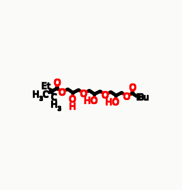 CCC(C)C(=O)OCC(O)COCC(O)COCC(O)COC(=O)C(C)(C)CC